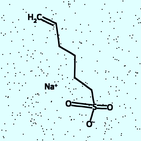 C=CCCCCS(=O)(=O)[O-].[Na+]